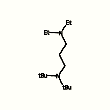 CCN(CC)CCCN(C(C)(C)C)C(C)(C)C